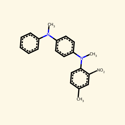 Cc1ccc(N(C)c2ccc(N(C)c3ccccc3)cc2)c([N+](=O)[O-])c1